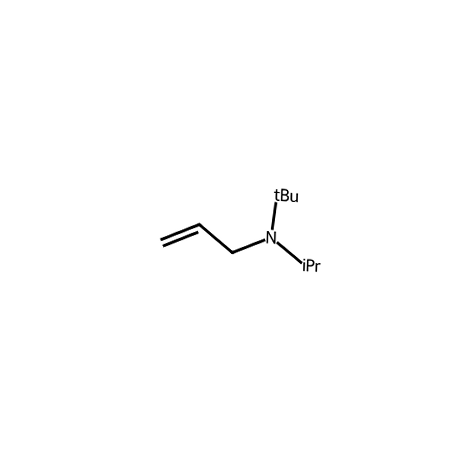 C=CCN(C(C)C)C(C)(C)C